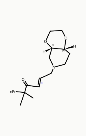 CCCC(C)(C)C(=O)/C=C/CN1CC[C@H]2OCCO[C@H]2C1